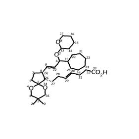 CC1(C)COC2(CC[C@@H](C=CC(OC3CCCCO3)C3CCCCCC3)[C@@H]2CCC=CCCC(=O)O)OC1